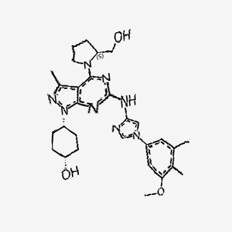 COc1cc(-n2cnc(Nc3nc(N4CCC[C@H]4CO)c4c(C)nn([C@H]5CC[C@@H](O)CC5)c4n3)c2)cc(C)c1C